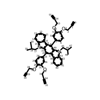 C#CCOc1ccc(-c2c3c4ccccc4n(CC(C)C)c3c(-c3ccc(OCC#C)c(OCC#C)c3)c3c4ccccc4n(CC(C)C)c23)cc1OCC#C